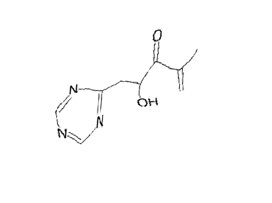 C=C(C)C(=O)C(O)Cc1ncncn1